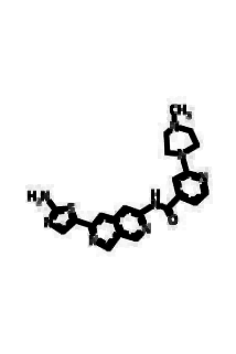 CN1CCN(c2cc(C(=O)Nc3cc4cc(-c5cnc(N)s5)ncc4cn3)ccn2)CC1